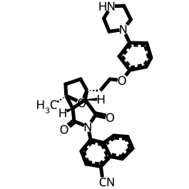 C[C@]12CC[C@](CCOc3cccc(N4CCNCC4)c3)(O1)[C@@H]1C(=O)N(c3ccc(C#N)c4ccccc34)C(=O)[C@@H]12